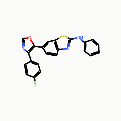 Fc1ccc(-c2ncoc2-c2ccc3nc(Nc4ccccc4)sc3c2)cc1